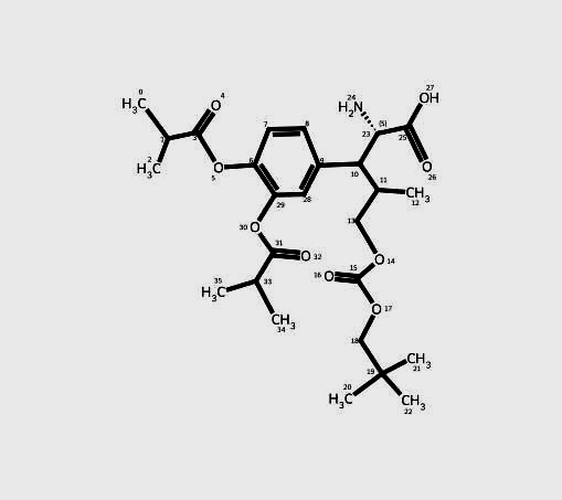 CC(C)C(=O)Oc1ccc(C(C(C)COC(=O)OCC(C)(C)C)[C@H](N)C(=O)O)cc1OC(=O)C(C)C